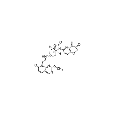 CSc1ncc2ccc(=O)n(CCN[C@H]3CC[C@H]4[C@@H](C3)OC(=O)N4c3ccc4c(n3)NC(=O)CO4)c2n1